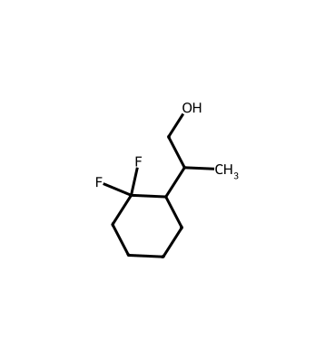 CC(CO)C1CCCCC1(F)F